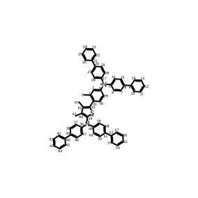 Cc1cc(N(c2ccc(-c3ccccc3)cc2)c2ccc(-c3ccccc3)cc2)ccc1-c1sc(N(c2ccc(-c3ccccc3)cc2)c2ccc(-c3ccccc3)cc2)c(C)c1C